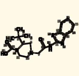 CC(C)(C)C1CN(CC(=O)Nc2nc3ccccc3s2)CCN1C(=O)O